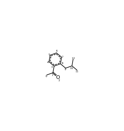 CC(=O)c1ccccc1CC(C)C